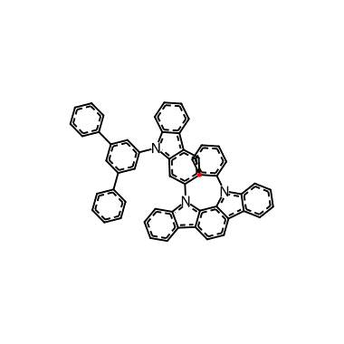 c1ccc(-c2cc(-c3ccccc3)cc(-n3c4ccccc4c4ccc(-n5c6ccccc6c6ccc7c8ccccc8n(-c8ccccc8)c7c65)cc43)c2)cc1